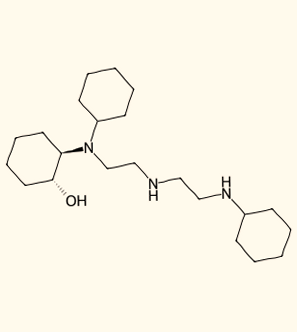 O[C@@H]1CCCC[C@H]1N(CCNCCNC1CCCCC1)C1CCCCC1